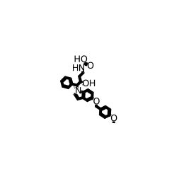 COc1ccc(COc2ccc3c(ccn3[C@@H](c3ccccc3)[C@H](O)CCNC(=O)O)c2)cc1